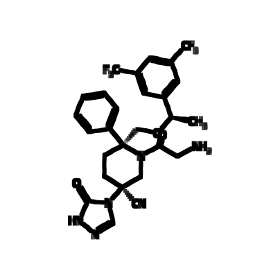 C[C@@H](OC[C@@]1(c2ccccc2)CC[C@](C#N)(n2cn[nH]c2=O)CN1C(=O)CN)c1cc(C(F)(F)F)cc(C(F)(F)F)c1